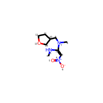 CNC(=C[N+](=O)[O-])N(C)CC1CCOC1